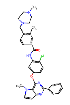 CN1CCN(Cc2ccc(C(=O)Nc3cc(Oc4nc(-c5ccccc5)nc5ccn(C)c45)ccc3Cl)cc2C(F)(F)F)CC1